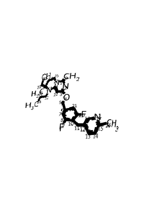 C=C1N=C(OCc2cc(F)c(Cc3ccc(C)nc3)c(F)c2)C=C2N1CCC(C)(CC)N2CCC